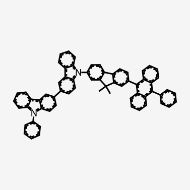 CC1(C)c2cc(-c3c4ccccc4c(-c4ccccc4)c4ccccc34)ccc2-c2ccc(-n3c4ccccc4c4cc(-c5ccc6c(c5)c5ccccc5n6-c5ccccc5)ccc43)cc21